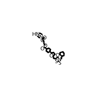 O=C(OCCOC(=O)N1CCNCC1)c1ccc(-c2ccc(/C=C3/SC(=S)N(Cc4ccccc4)C3=O)o2)cc1